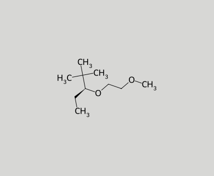 CC[C@H](OCCOC)C(C)(C)C